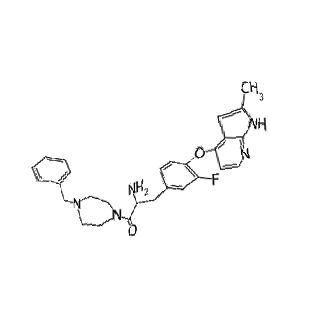 Cc1cc2c(Oc3ccc(CC(N)C(=O)N4CCN(Cc5ccccc5)CC4)cc3F)ccnc2[nH]1